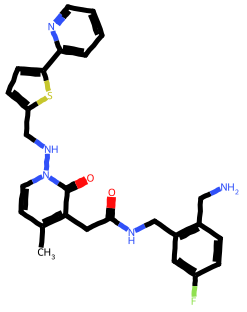 Cc1ccn(NCc2ccc(-c3ccccn3)s2)c(=O)c1CC(=O)NCc1cc(F)ccc1CN